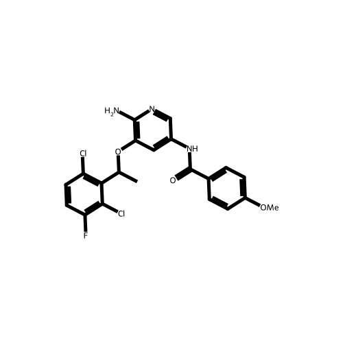 COc1ccc(C(=O)Nc2cnc(N)c(OC(C)c3c(Cl)ccc(F)c3Cl)c2)cc1